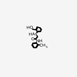 Cc1ccccc1NC(=O)C[AsH]c1ccccc1CO